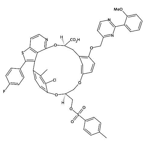 COc1ccccc1-c1nccc(COc2ccc3cc2C[C@H](C(=O)O)Oc2nccc4sc(-c5ccc(F)cc5)c(c24)-c2ccc(c(Cl)c2C)O[C@H](COS(=O)(=O)c2ccc(C)cc2)CO3)n1